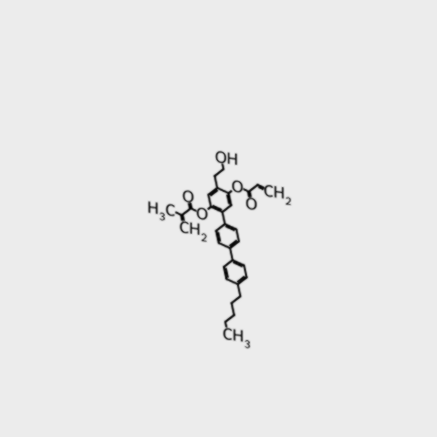 C=CC(=O)Oc1cc(-c2ccc(-c3ccc(CCCCC)cc3)cc2)c(OC(=O)C(=C)C)cc1CCO